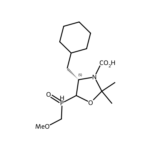 COC[PH](=O)C1OC(C)(C)N(C(=O)O)[C@H]1CC1CCCCC1